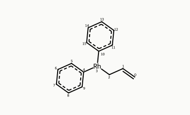 C=C[CH2][Rh]([c]1ccccc1)[c]1ccccc1